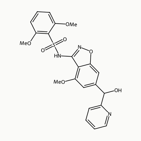 COc1cccc(OC)c1S(=O)(=O)Nc1noc2cc(C(O)c3ccccn3)cc(OC)c12